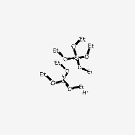 CCO[SiH](OCC)OCC.CCO[Si](OCC)(OCC)OCC.[H+]